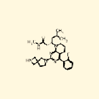 CNC(=O)C[C@H](CC(C)C)N1CCCc2c(-c3ccccc3F)nc(N3CCC4(CNC4)C3)nc21